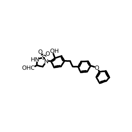 O=CC1CN(c2ccc(CCc3ccc(Oc4ccccc4)cc3)cc2O)S(=O)(=O)N1